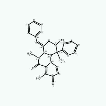 CN1C(=O)c2c(O)c(=O)ccn2N2C1/C(=C/c1ccccc1)CC(O)C2(C)c1ccccc1